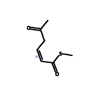 CSC(=O)/C=C\CC(C)=O